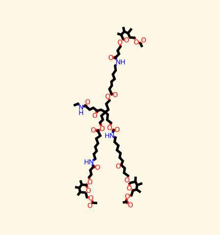 CCNC(=O)CCC(=O)CC(CCCOC(=O)CCCCCCCNC(=O)CCCOC1OC(COC(C)=O)C(C)C(C)C1C)(CCCOC(=O)CCCCCCCNC(=O)CCCOC1OC(COC(C)=O)C(C)C(C)C1C)CCCOC(=O)NCCCCCCCC(=O)CCCOC1OC(COC(C)=O)C(C)C(C)C1C